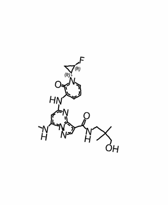 CNc1cc(Nc2cccn([C@@H]3C[C@H]3F)c2=O)nc2c(C(=O)NCC(C)(C)CO)cnn12